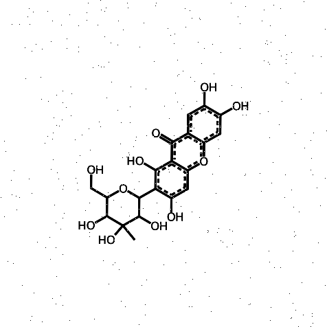 CC1(O)C(O)C(CO)OC(c2c(O)cc3oc4cc(O)c(O)cc4c(=O)c3c2O)C1O